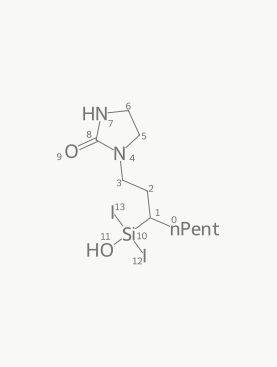 CCCCCC(CCN1CCNC1=O)[Si](O)(I)I